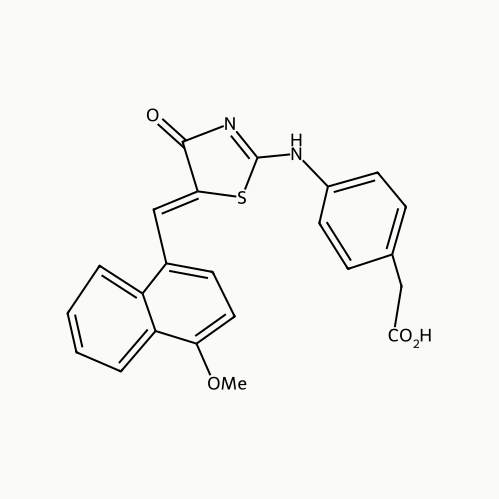 COc1ccc(/C=C2\SC(Nc3ccc(CC(=O)O)cc3)=NC2=O)c2ccccc12